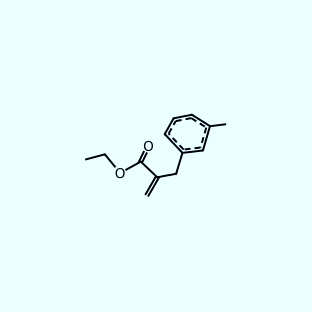 C=C(Cc1cccc(C)c1)C(=O)OCC